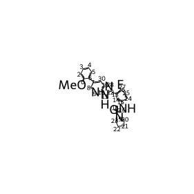 COc1ccccc1-c1cnc2[nH]c(-c3cc(NC(=O)N4CCCC4)ccc3F)nc2c1